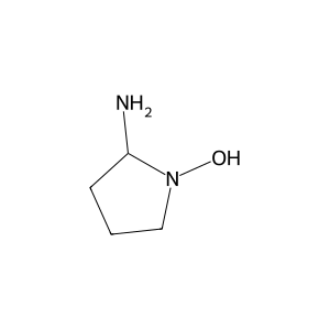 NC1CCCN1O